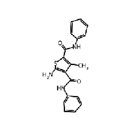 Cc1c(C(=O)Nc2ccccc2)sc(N)c1C(=O)Nc1ccccc1